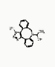 CC(O)N1Cc2ccccc2-c2c(nnn2C(C)C)-c2ccccc21